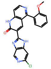 COc1ccccc1-c1nccc2[nH]c(=O)c(-c3nc4cnc(Cl)cc4[nH]3)cc12